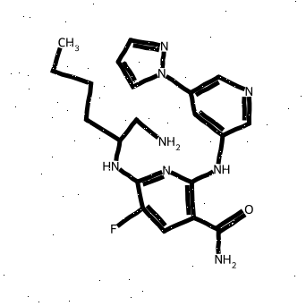 CCCCC(CN)Nc1nc(Nc2cncc(-n3cccn3)c2)c(C(N)=O)cc1F